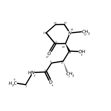 CCNC(=O)C[C@@H](C)C(O)[C@H]1C(=O)CCCN1C